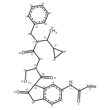 CNC(=O)Nc1ccc2c(c1)[C@@]1(OCN(CC(=O)N(Cc3ccccc3)C(C)C3CC3)C1=O)C(=O)C2